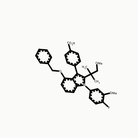 COCC(C)(C)c1c(-c2ccc(C(=O)O)cc2)c2c(OCc3ccccc3)cccc2n1-c1ccc(F)c(OC)c1